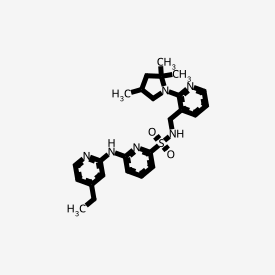 CCc1ccnc(Nc2cccc(S(=O)(=O)NCc3cccnc3N3CC(C)CC3(C)C)n2)c1